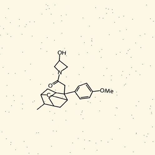 COc1ccc(C2(CC(=O)N3CC(O)C3)C3CC4CC2CC(C3)C4C)cc1